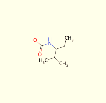 CCC(NC([O])=O)C(C)C